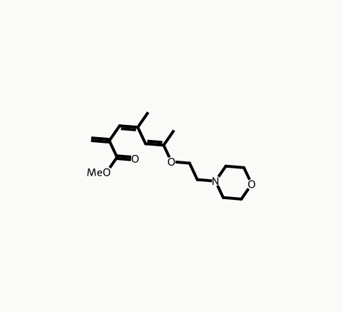 C=C(/C=C(C)\C=C(/C)OCCN1CCOCC1)C(=O)OC